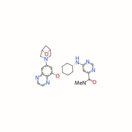 CNC(=O)c1cc(N[C@H]2CC[C@@H](Oc3cc(N4CC5CC(C4)O5)cc4nccnc34)CC2)ncn1